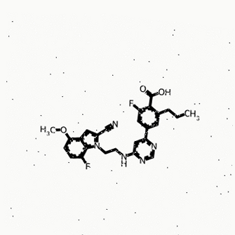 CCCc1cc(-c2cc(NCCn3c(C#N)cc4c(OC)ccc(F)c43)ncn2)cc(F)c1C(=O)O